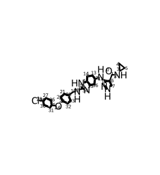 O=C(NC1CC1)c1c[nH]nc1Nc1ccc2[nH]c(NCc3ccc(Oc4ccc(Cl)cc4)cc3)nc2c1